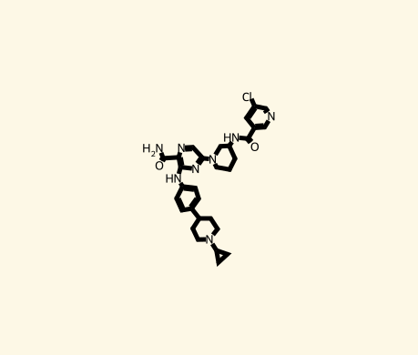 NC(=O)c1ncc(N2CCCC(NC(=O)c3cncc(Cl)c3)C2)nc1Nc1ccc(C2CCN(C3CC3)CC2)cc1